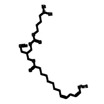 CCCCC/C=C\C/C=C\CCCCCCCC(=O)OCC(COC)COC(=O)OCCCCN(CC)CC